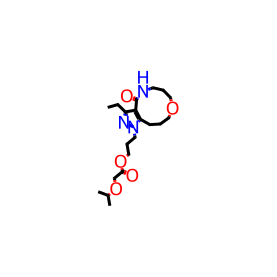 CCc1nn(CCCOC(=O)COC(C)C)c2c1C(=O)NCCCOCCC2